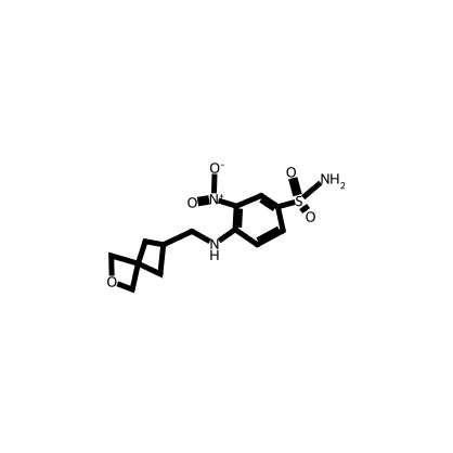 NS(=O)(=O)c1ccc(NCC2CC3(COC3)C2)c([N+](=O)[O-])c1